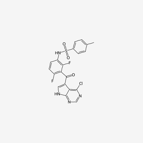 Cc1ccc(S(=O)(=O)Nc2ccc(F)c(C(=O)c3c[nH]c4ncnc(Cl)c34)c2F)cc1